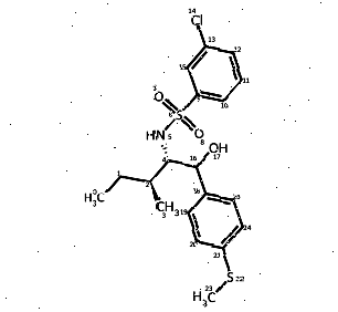 CC[C@H](C)[C@H](NS(=O)(=O)c1cccc(Cl)c1)C(O)c1ccc(SC)cc1